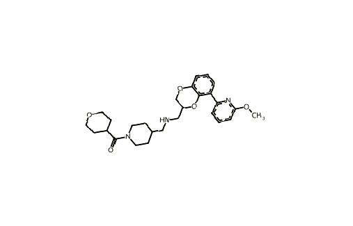 COc1cccc(-c2cccc3c2OC(CNCC2CCN(C(=O)C4CCOCC4)CC2)CO3)n1